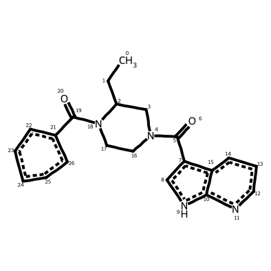 CCC1CN(C(=O)c2c[nH]c3ncccc23)CCN1C(=O)c1ccccc1